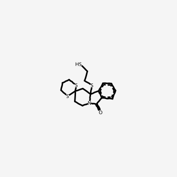 O=C1c2ccccc2C2(SCCS)CC3(CCN12)SCCCS3